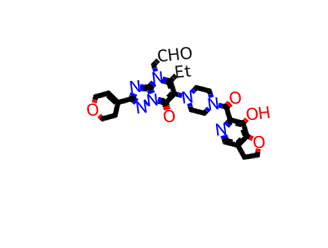 CCc1c(N2CCN(C(=O)c3ncc4c(c3O)OCC4)CC2)c(=O)n2nc(C3=CCOCC3)nc2n1CC=O